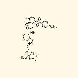 Cc1ccc(S(=O)(=O)N2C=CNC(=O)[C@H]2CC(=O)N[C@H]2CCCc3c2cnn3CCO[Si](C)(C)C(C)(C)C)cc1